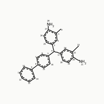 Cc1cc(C(c2ccc(-c3ccccc3)cc2)c2ccc(N)c(C)c2)ccc1N